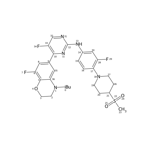 CCC(C)N1CCOc2c(F)cc(-c3nc(Nc4ccc(N5CCC(S(C)(=O)=O)CC5)c(F)c4)ncc3F)cc21